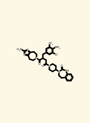 Nc1nc2c(s1)CCN(C(=O)C(CC(=O)N1CCC(N3CCc4ccccc4NC3=O)CC1)Cc1cc(Cl)c(N)c(C(F)(F)F)c1)CC2